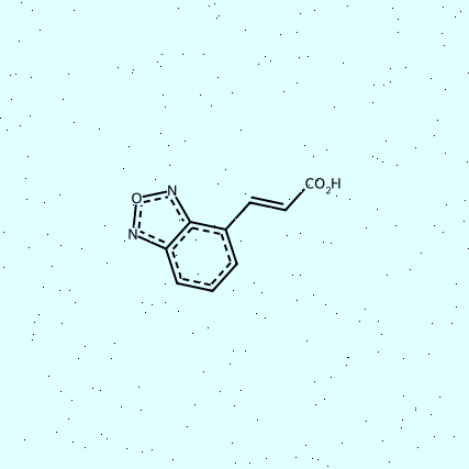 O=C(O)C=Cc1cccc2nonc12